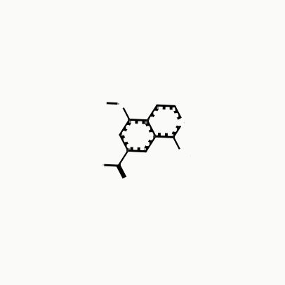 COc1cc(C(=O)O)cc2c(C)nccc12